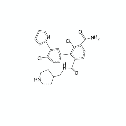 NC(=O)c1ccc(C(=O)NCC2CCNCC2)c(-c2ccc(Cl)c(-c3ccccn3)c2)c1Cl